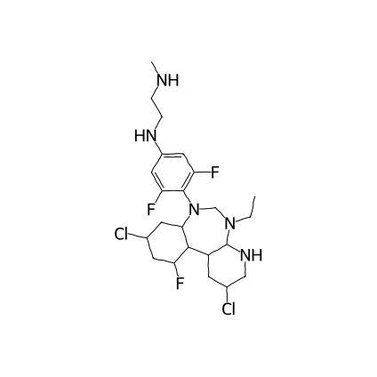 CCN1CN(c2c(F)cc(NCCNC)cc2F)C2CC(Cl)CC(F)C2C2CC(Cl)CNC21